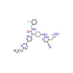 COc1ncc(-c2ccc(N(C(=O)NCc3ccccc3F)C3CCC(Nc4ncc(C#N)c(CC5CNC5)n4)CC3)nc2)cn1